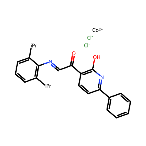 CC(C)c1cccc(C(C)C)c1N=CC(=O)c1ccc(-c2ccccc2)nc1O.[Cl-].[Cl-].[Co+2]